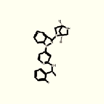 CC(Nc1cc(-n2nc(N3C[C@@H]4C[C@H]3CN4)c3ccccc32)ccn1)c1ccccc1F